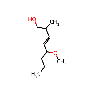 CCCC(/C=C/C(C)CO)OC